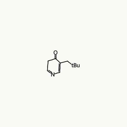 CC(C)(C)CC1=CN=CCC1=O